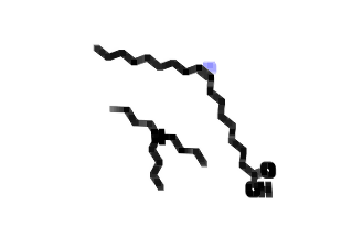 CCCCCCCC/C=C\CCCCCCCC(=O)O.CCCCN(CCCC)CCCC